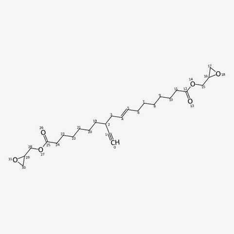 C#CC(CC=CCCCCCCC(=O)OCC1CO1)CCCCCCC(=O)OCC1CO1